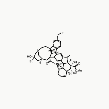 CCSc1ccc2c(c1)C1=C(B2)[C@@](C(=O)OC)(C2C=C3C(=CC2OC)N(C)[C@H]2[C@@](O)(C(=O)OC)[C@H](OC(C)=O)[C@]4(CC)C=CCN5CC[C@]32[C@@H]54)C[C@@H]2CN(CC1)C[C@](O)(CC)C2